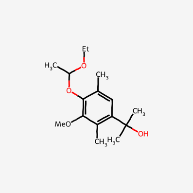 CCOC(C)Oc1c(C)cc(C(C)(C)O)c(C)c1OC